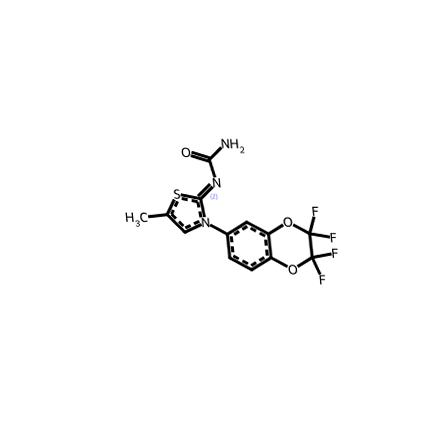 Cc1cn(-c2ccc3c(c2)OC(F)(F)C(F)(F)O3)/c(=N/C(N)=O)s1